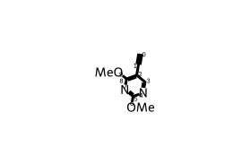 C#Cc1cnc(OC)nc1OC